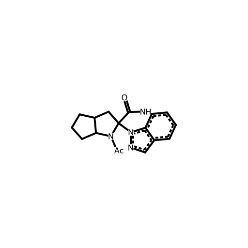 CC(=O)N1C2CCCC2CC1(C(N)=O)n1ncc2ccccc21